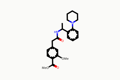 COC(=O)c1ccc(CC(=O)NC(C)c2ccccc2N2CCCCC2)cc1OC